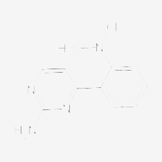 CN(C)c1ccccc1-c1ccnc(N)n1